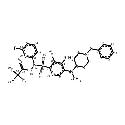 Cc1c(N(C)C2CCN(Cc3ccccc3)CC2)cnc(S(=O)(=O)N(OC(=O)C(F)(F)F)c2cccc(F)n2)c1F